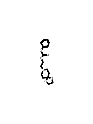 O=C(OCCN1CCC2(CC1)OCCO2)Oc1ccccc1